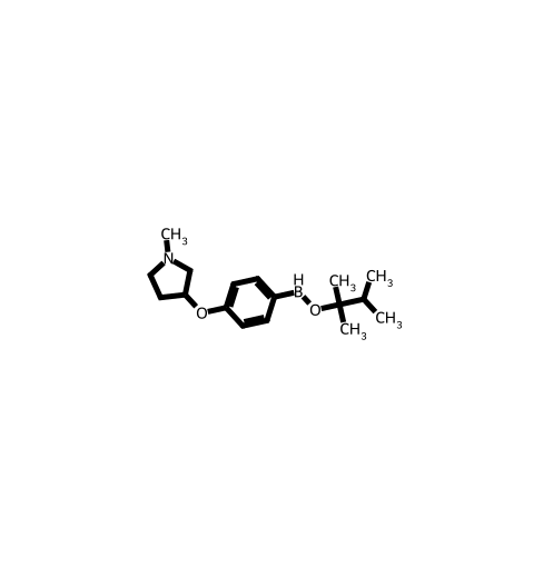 CC(C)C(C)(C)OBc1ccc(OC2CCN(C)C2)cc1